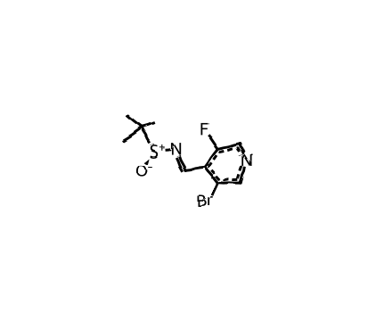 CC(C)(C)[S@+]([O-])N=Cc1c(F)cncc1Br